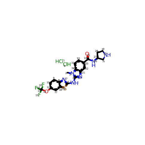 Cl.Cl.Cn1c(Nc2nc3ccc(OC(F)(F)F)cc3s2)nc2cc(C(=O)NC3CCNC3)ccc21